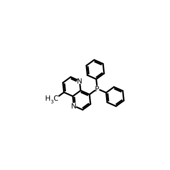 Cc1ccnc2c(P(c3ccccc3)c3ccccc3)ccnc12